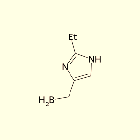 BCc1c[nH]c(CC)n1